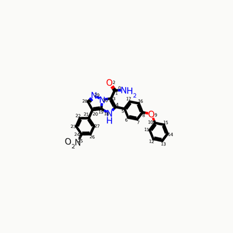 NC(=O)c1c(-c2ccc(Oc3ccccc3)cc2)[nH]c2c(-c3ccc([N+](=O)[O-])cc3)cnn12